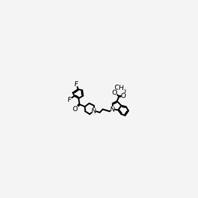 COC(=O)c1cn(CCCN2CCC(C(=O)c3ccc(F)cc3F)CC2)c2ccccc12